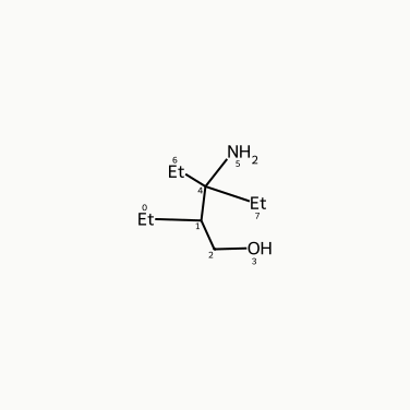 CCC(CO)C(N)(CC)CC